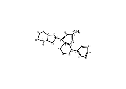 Nc1nc2c(c(N3CC4CCCNC4C3)n1)CCCC2c1ccccc1